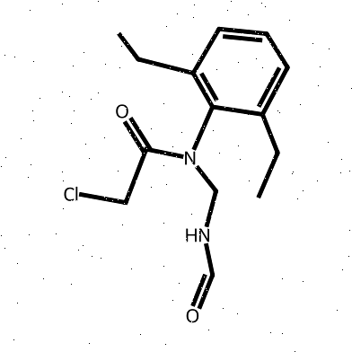 CCc1cccc(CC)c1N(CNC=O)C(=O)CCl